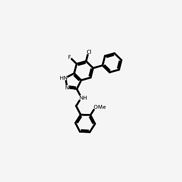 COc1ccccc1CNc1n[nH]c2c(F)c(Cl)c(-c3ccccc3)cc12